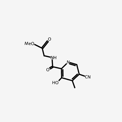 COC(=O)CNC(=O)c1ncc(C#N)c(C)c1O